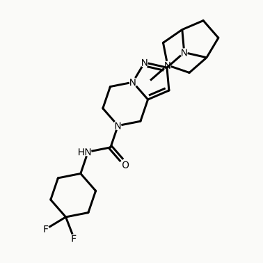 CN1CC2CCC(C1)N2c1cc2n(n1)CCN(C(=O)NC1CCC(F)(F)CC1)C2